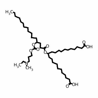 CCCCCCCCCCCCC(CCC(=O)OC(CCCCCCCCCCC(=O)O)CCCCCCCCCCC(=O)O)OC(=O)OCCCN(C)CC